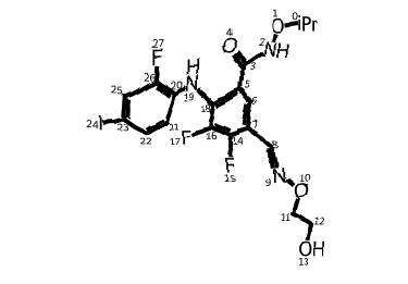 CC(C)ONC(=O)c1cc(C=NOCCO)c(F)c(F)c1Nc1ccc(I)cc1F